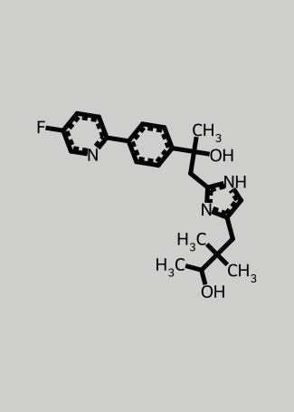 CC(O)C(C)(C)Cc1c[nH]c(CC(C)(O)c2ccc(-c3ccc(F)cn3)cc2)n1